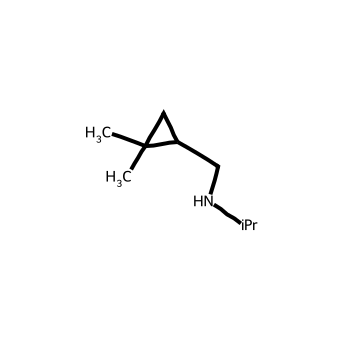 CC(C)NCC1CC1(C)C